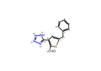 O=Cc1sc(Cc2ccccc2)cc1-c1nnn[nH]1